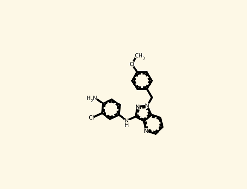 COc1ccc(Cn2nc(Nc3ccc(N)c(Cl)c3)c3ncccc32)cc1